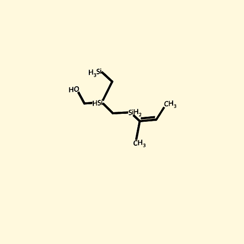 CC=C(C)[SiH2]C[SiH](CO)C[SiH3]